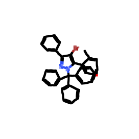 Cc1ccccc1-c1c(Br)c(-c2ccccc2)nn1C(c1ccccc1)(c1ccccc1)c1ccccc1